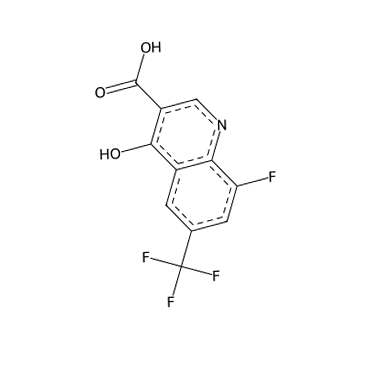 O=C(O)c1cnc2c(F)cc(C(F)(F)F)cc2c1O